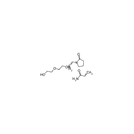 C=CC(N)=O.C=CN1CCCC1=O.OCCOCCO